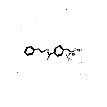 CC(C)OP(=O)(Cc1ccc(C(=O)NCCc2ccccc2)cc1)OC(C)C